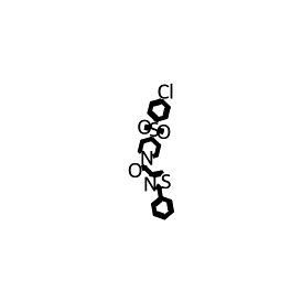 O=C(c1csc(-c2ccccc2)n1)N1CCC(S(=O)(=O)c2ccc(Cl)cc2)CC1